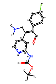 CN(C)CC(=C(C=O)c1ccc(F)cc1)c1ccnc(NC(=O)OC(C)(C)C)c1